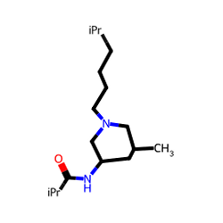 CC(C)CCCCN1CC(C)CC(NC(=O)C(C)C)C1